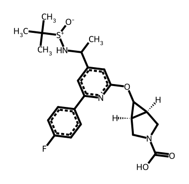 CC(N[S+]([O-])C(C)(C)C)c1cc(OC2[C@H]3CN(C(=O)O)C[C@@H]23)nc(-c2ccc(F)cc2)c1